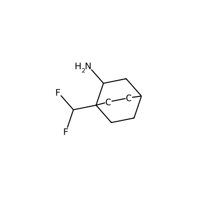 NC1CC2CCC1(C(F)F)CC2